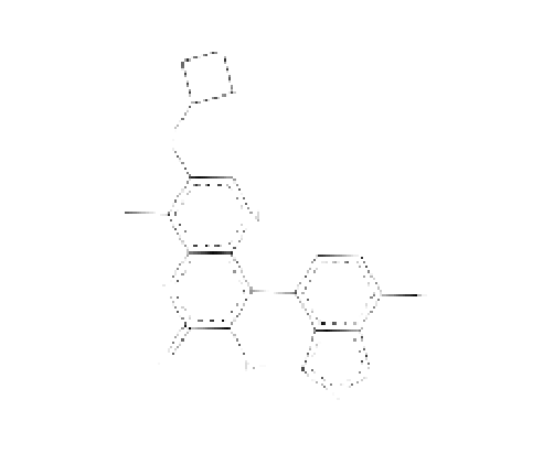 Cc1c(OC2CCC2)cnc2c(-c3ccc(F)c4[nH]ncc34)c(N)c(=O)[nH]c12